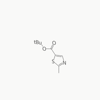 Cc1ncc(C(=O)OC(C)(C)C)s1